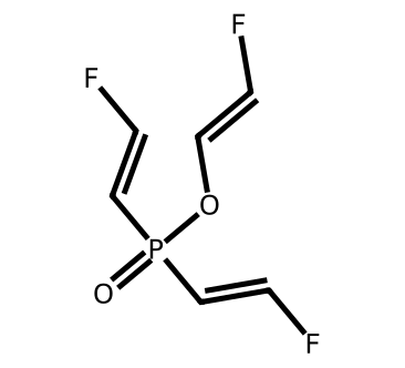 O=P(C=CF)(C=CF)OC=CF